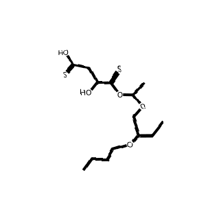 CCCCOC(CC)COC(C)OC(=S)C(O)CC(O)=S